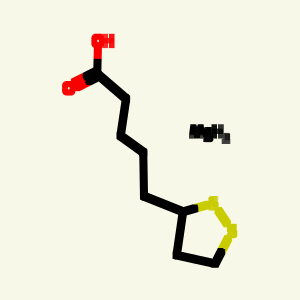 O=C(O)CCCCC1CCSS1.[MgH2]